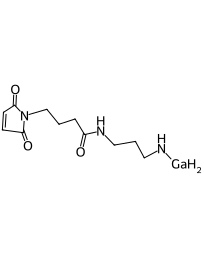 O=C(CCCN1C(=O)C=CC1=O)NCCC[NH][GaH2]